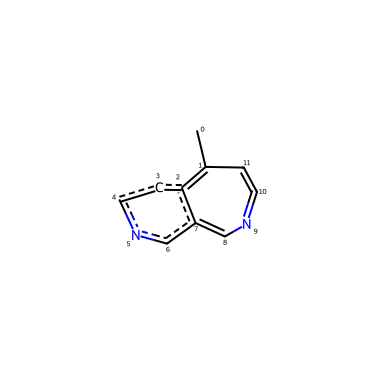 CC1=c2ccncc2=CN=C=C1